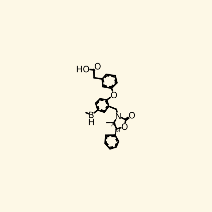 CBc1ccc(Oc2cccc(CC(=O)O)c2)c(CN2C(=O)O[C@@H](c3ccccc3)[C@H]2C)c1